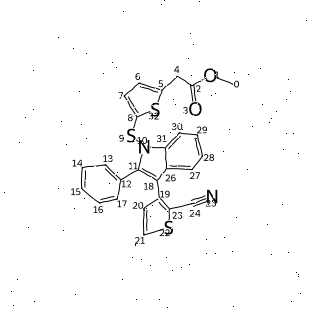 COC(=O)Cc1ccc(Sn2c(-c3ccccc3)c(-c3ccsc3C#N)c3ccccc32)s1